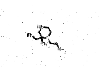 CC(C)CC1(C)CNCCN1CCN